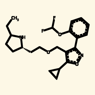 CCC1CC[C@@H](CCOCc2c(-c3ccccc3OC(F)F)noc2C2CC2)N1